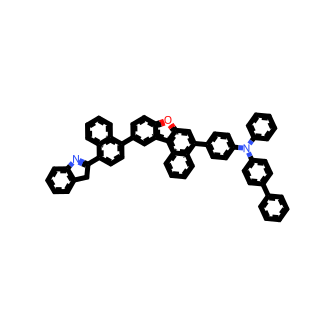 c1ccc(-c2ccc(N(c3ccccc3)c3ccc(-c4cc5oc6ccc(-c7ccc(C8=Nc9ccccc9C8)c8ccccc78)cc6c5c5ccccc45)cc3)cc2)cc1